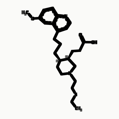 CCSCCN1CC[C@@H](CCCc2ccnc3ccc(OC)cc23)[C@@H](CCC(=O)O)C1